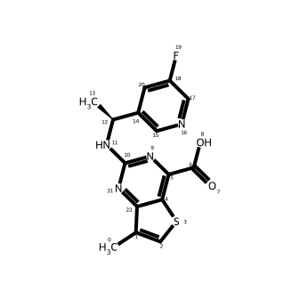 Cc1csc2c(C(=O)O)nc(N[C@@H](C)c3cncc(F)c3)nc12